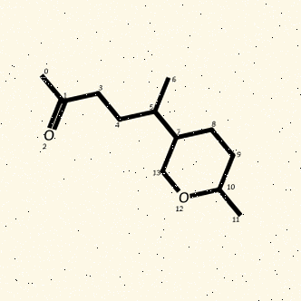 CC(=O)CCC(C)C1CCC(C)OC1